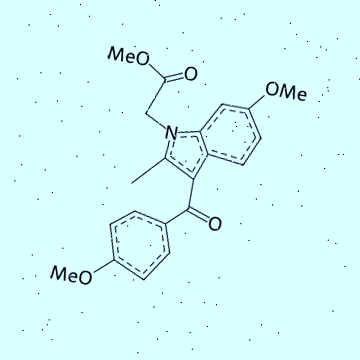 COC(=O)Cn1c(C)c(C(=O)c2ccc(OC)cc2)c2ccc(OC)cc21